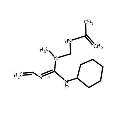 C=C/N=C(/NC1CCCCC1)N(C)CNC(=C)C